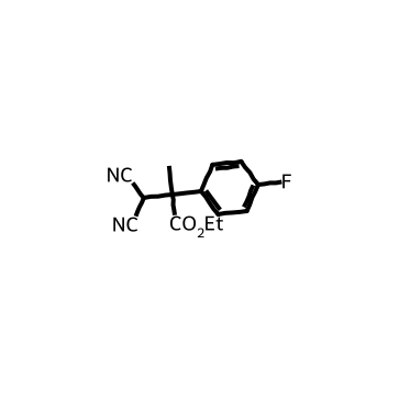 CCOC(=O)C(C)(c1ccc(F)cc1)C(C#N)C#N